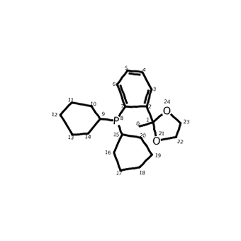 CC1(c2ccccc2P(C2CCCCC2)C2CCCCC2)OCCO1